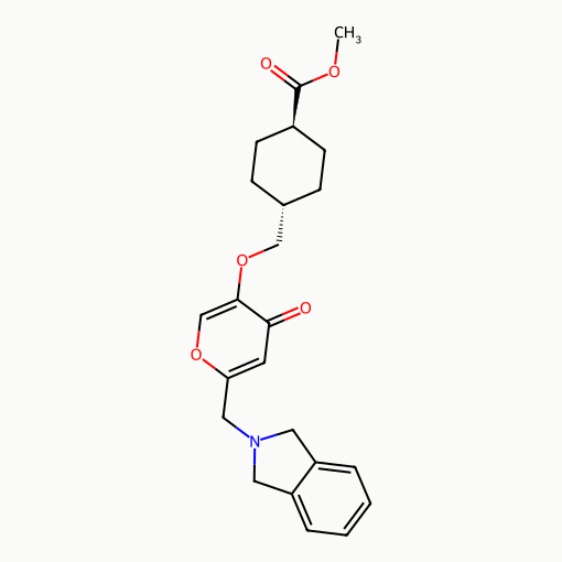 COC(=O)[C@H]1CC[C@H](COc2coc(CN3Cc4ccccc4C3)cc2=O)CC1